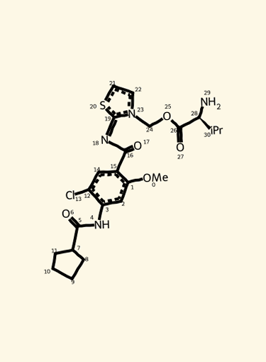 COc1cc(NC(=O)C2CCCC2)c(Cl)cc1C(=O)N=c1sccn1COC(=O)[C@@H](N)C(C)C